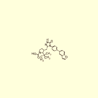 CC(C)(C)C1[C@H](Cc2n[nH]c(=O)n2-c2ccc(-c3ccc4occc4c3)cc2)CCN1C(=O)O